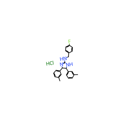 Cc1cccc(C2N=C(NCc3ccc(F)cc3)NC2c2cccc(C)c2)c1.Cl